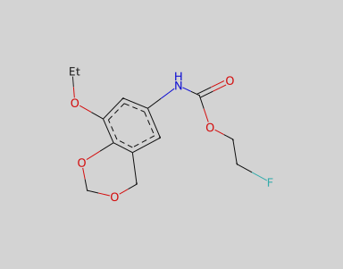 CCOc1cc(NC(=O)OCCF)cc2c1OCOC2